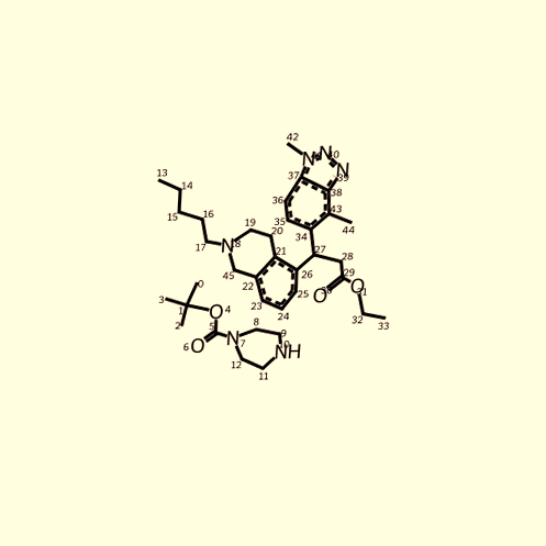 CC(C)(C)OC(=O)N1CCNCC1.CCCCCN1CCc2c(cccc2C(CC(=O)OCC)c2ccc3c(nnn3C)c2C)C1